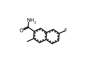 Cc1cc2ccc(F)cc2cc1C(N)=O